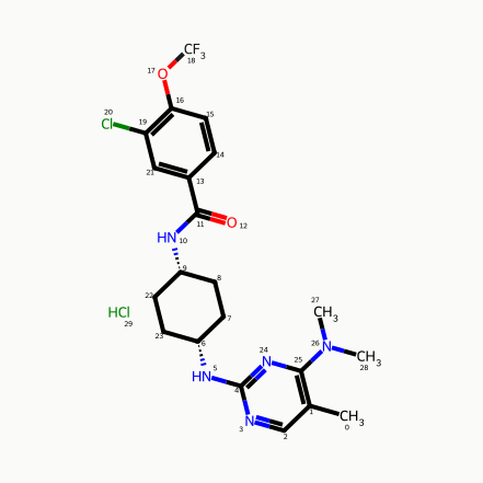 Cc1cnc(N[C@H]2CC[C@@H](NC(=O)c3ccc(OC(F)(F)F)c(Cl)c3)CC2)nc1N(C)C.Cl